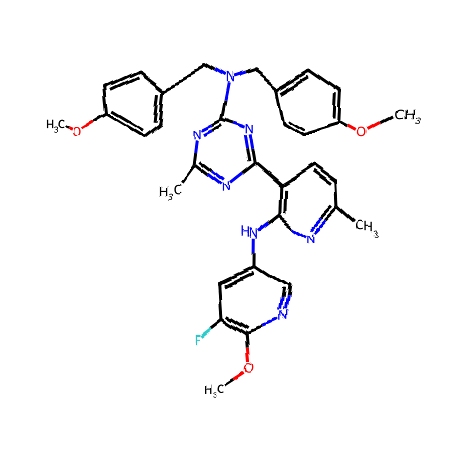 COc1ccc(CN(Cc2ccc(OC)cc2)c2nc(C)nc(-c3ccc(C)nc3Nc3cnc(OC)c(F)c3)n2)cc1